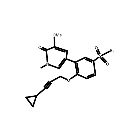 CCS(=O)(=O)c1ccc(OCC#CC2CC2)c(-c2cc(OC)c(=O)n(C)c2)c1